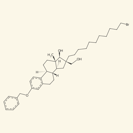 C[C@]12CC[C@@H]3c4ccc(OCc5ccccc5)cc4CC[C@H]3[C@@H]1C[C@@](CO)(CCCCCCCCCCCBr)[C@@H]2O